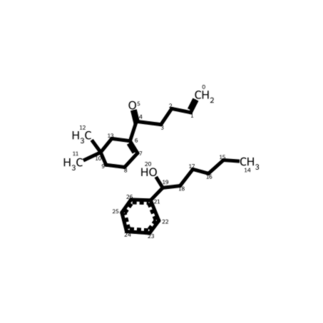 C=CCCC(=O)C1=CCCC(C)(C)C1.CCCCCC(O)c1ccccc1